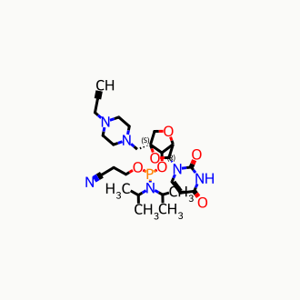 C#CCN1CCN(C[C@]23COC(C2OP(OCCC#N)N(C(C)C)C(C)C)[C@H](n2ccc(=O)[nH]c2=O)O3)CC1